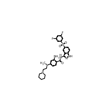 CN(CCN1CCCCC1)c1ccc(C(=O)Nc2n[nH]c3ccc(S(=O)(=O)c4cc(F)cc(F)c4)cc23)c(N)c1